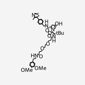 COc1ccc(CCNC(=O)CCOCCOCCC(=O)N[C@H](C(=O)N2C[C@H](O)C[C@H]2C(=O)NCc2ccc(-c3scnc3C)cc2)C(C)(C)C)cc1OC